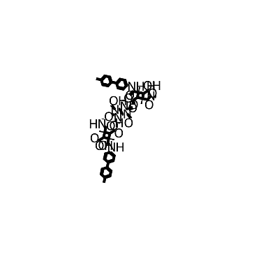 CNC(=O)[C@@]1(C)C(C(=O)O)[C@@](C)(C(=O)Nc2ccc(-c3ccc(C)cc3)cc2)C1C(=O)OCN1C(=O)N(CO)C2C1N(CO)C(=O)N2COC(=O)C1[C@@](C)(C(=O)NC)C(C(=O)O)[C@@]1(C)C(=O)Nc1ccc(-c2ccc(C)cc2)cc1